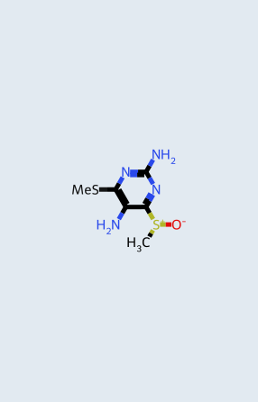 CSc1nc(N)nc([S+](C)[O-])c1N